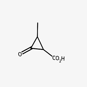 CC1C(=O)C1C(=O)O